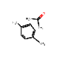 CC(C)=O.Cc1ccc(C)cc1